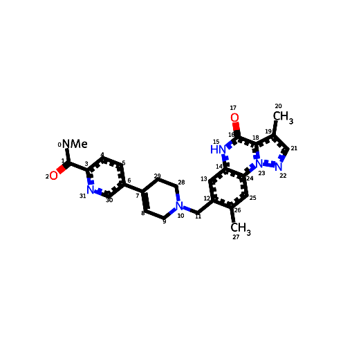 CNC(=O)c1ccc(C2=CCN(Cc3cc4[nH]c(=O)c5c(C)cnn5c4cc3C)CC2)cn1